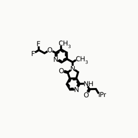 Cc1cc(C(C)N2Cc3c(ccnc3NC(=O)CC(C)C)C2=O)cnc1OCC(F)F